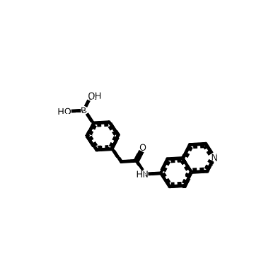 O=C(Cc1ccc(B(O)O)cc1)Nc1ccc2cnccc2c1